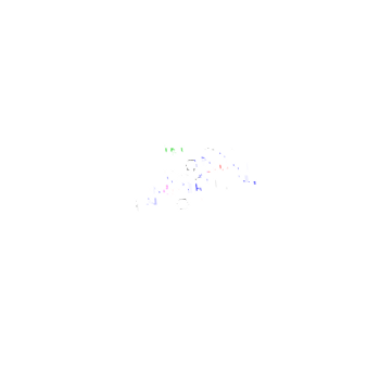 CNC(C)C(=O)N[C@H]1CCS[C@H]2CC(C)(C)[C@@H](C(=O)NC(C(=O)N3CCN(C(=O)C(NC(=O)[C@H]4N5C(=O)[C@@H](NC(=O)C(C)NC)CCS[C@H]5CC4(C)C)c4ccccc4)CC3)c3ccccc3)N2C1=O.Cl.Cl